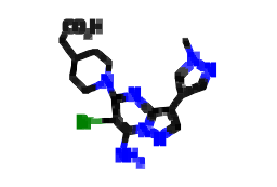 Cn1cc(-c2cnn3c(N)c(Br)c(N4CCC(CC(=O)O)CC4)nc23)cn1